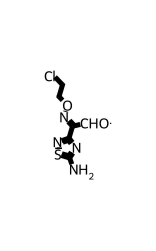 Nc1nc(/C([C]=O)=N/OCCCl)ns1